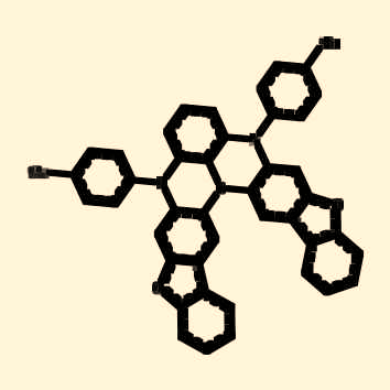 CC(C)(C)c1ccc(N2c3cc4oc5ccccc5c4cc3B3c4cc5c(cc4N(c4ccc(C(C)(C)C)cc4)c4cccc2c43)oc2ccccc25)cc1